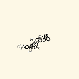 CCc1cc(-c2ccc(NS(=O)(=O)c3ccccc3Cl)c(F)c2C)cc2cnc(N[C@H]3CC[C@H](N)CC3)nc12